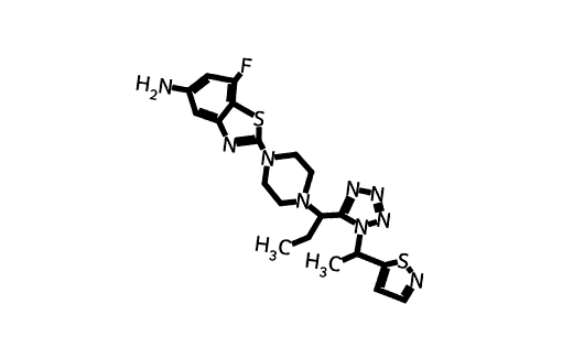 CCC(c1nnnn1C(C)c1ccns1)N1CCN(c2nc3cc(N)cc(F)c3s2)CC1